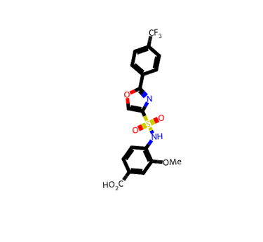 COc1cc(C(=O)O)ccc1NS(=O)(=O)c1coc(-c2ccc(C(F)(F)F)cc2)n1